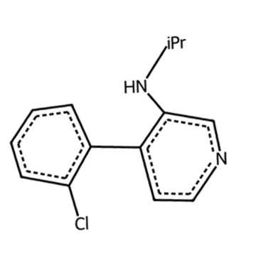 CC(C)Nc1cnccc1-c1ccccc1Cl